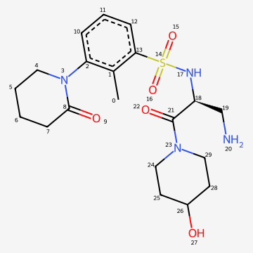 Cc1c(N2CCCCC2=O)cccc1S(=O)(=O)N[C@@H](CN)C(=O)N1CCC(O)CC1